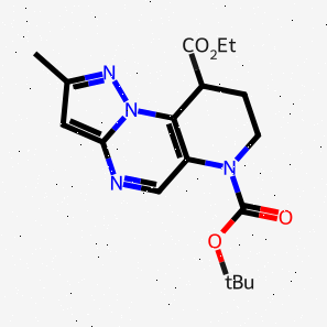 CCOC(=O)C1CCN(C(=O)OC(C)(C)C)c2cnc3cc(C)nn3c21